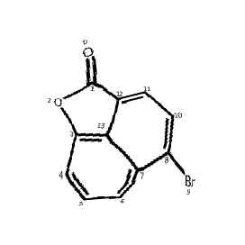 O=C1Oc2cccc3c(Br)ccc1c23